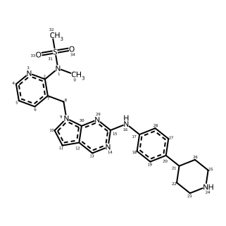 CN(c1ncccc1Cn1ccc2cnc(Nc3ccc(C4CCNCC4)cc3)nc21)S(C)(=O)=O